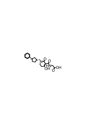 O=C(O)CNC(=O)C1=C(O)CCN(C[C@@H]2CC[C@@H](c3ccccc3)C2)C1=O